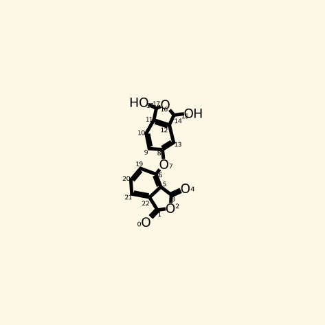 O=C1OC(=O)c2c(Oc3ccc4c(c3)C(O)OC4O)cccc21